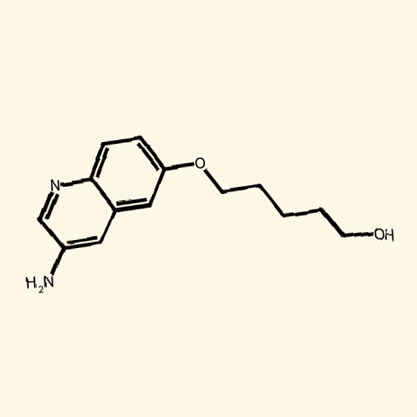 Nc1cnc2ccc(OCCCCCO)cc2c1